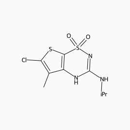 Cc1c(Cl)sc2c1NC(NC(C)C)=NS2(=O)=O